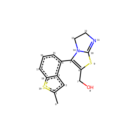 Cc1cc2c(C3=C(CO)SC4=NCCN43)cccc2s1